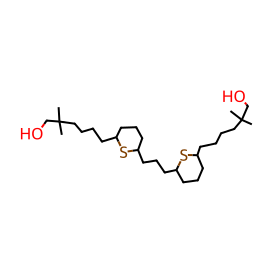 CC(C)(CO)CCCCC1CCCC(CCCC2CCCC(CCCCC(C)(C)CO)S2)S1